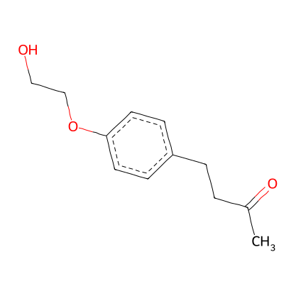 CC(=O)CCc1ccc(OCCO)cc1